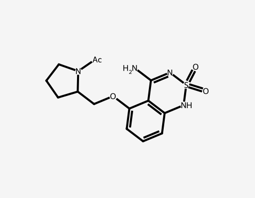 CC(=O)N1CCCC1COc1cccc2c1C(N)=NS(=O)(=O)N2